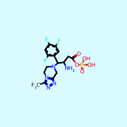 NC(CC(=O)OP(=O)(O)O)C(c1cc(F)c(F)cc1F)N1CCn2c(nnc2C(F)(F)F)C1